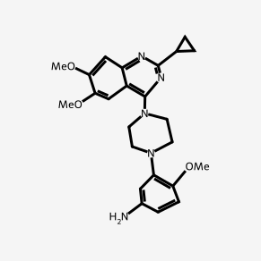 COc1cc2nc(C3CC3)nc(N3CCN(c4cc(N)ccc4OC)CC3)c2cc1OC